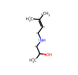 CC(C)=CCNCC(C)O